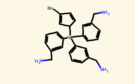 CCC(C)C1=C[C]([Si](c2cccc(CN)c2)(c2cccc(CN)c2)c2cccc(CN)c2)C=C1